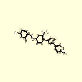 COC1=C(c2c[nH]c(-c3ccc(F)nc3)n2)C=CC(OCc2ccc(Br)cc2F)C1